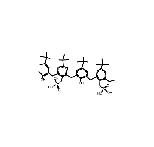 CCc1cc(C(C)(C)C)cc(Cc2cc(C(C)(C)C)cc(Cc3cc(C(C)(C)C)cc(CC(/C=C(\C)C(C)(C)C)=C(/C)O)c3OP(=O)(O)O)c2O)c1OP(=O)(O)O